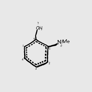 CNc1c[c]ccc1O